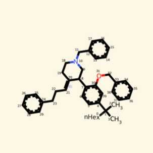 CCCCCCC(C)(C)c1ccc(C2CN(Cc3ccccc3)CC/C2=C\CCc2ccccc2)c(OCc2ccccc2)c1